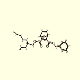 CCCCCC(CCC)COC(=O)C1C2C=CC(C2)C1C(=O)OCc1ccccc1